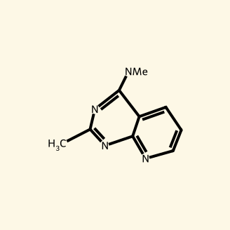 CNc1nc(C)nc2ncccc12